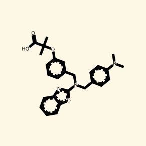 CN(C)c1ccc(CN(Cc2cccc(OC(C)(C)C(=O)O)c2)c2nc3ccccc3o2)cc1